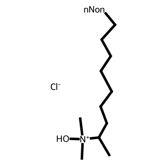 CCCCCCCCCCCCCCCCC(C)[N+](C)(C)O.[Cl-]